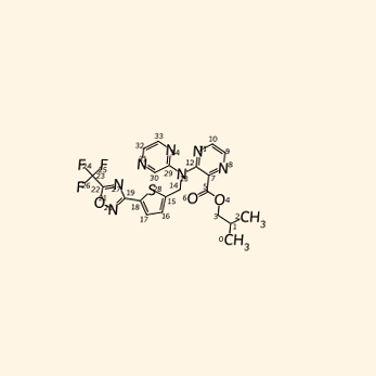 CC(C)COC(=O)c1nccnc1N(Cc1ccc(-c2noc(C(F)(F)F)n2)s1)c1cnccn1